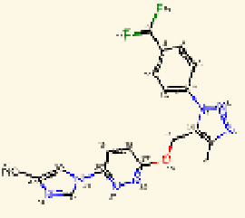 Cc1nnn(-c2ccc(C(F)F)cc2)c1COc1ccc(-n2cnc(C#N)c2)nn1